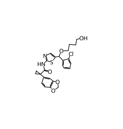 O=C(Nc1ncc(C(OCCCCO)c2ccccc2Cl)s1)C1(c2ccc3c(c2)OCO3)CC1